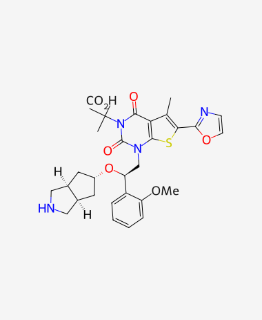 COc1ccccc1[C@H](Cn1c(=O)n(C(C)(C)C(=O)O)c(=O)c2c(C)c(-c3ncco3)sc21)O[C@@H]1C[C@H]2CNC[C@H]2C1